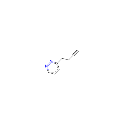 C#CCCc1cccnn1